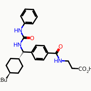 CC(C)(C)[C@H]1CC[C@H](C(NC(=O)Nc2ccccc2)c2ccc(C(=O)NCCC(=O)O)cc2)CC1